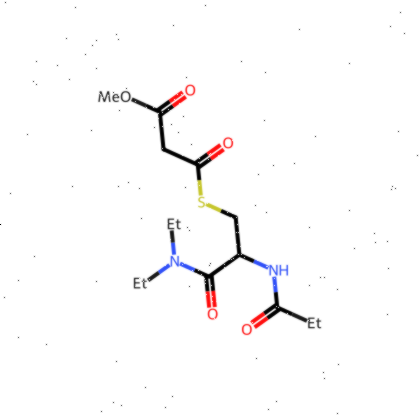 CCC(=O)NC(CSC(=O)CC(=O)OC)C(=O)N(CC)CC